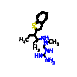 C=C(NN(C)CNC(=N)N)/C(=C\C)c1cc2ccccc2s1